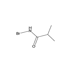 CC(C)C(=O)NBr